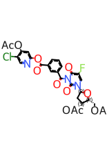 CC(=O)OC[C@H]1O[C@@H](n2cc(F)c(=O)n(C(=O)c3cccc(C(=O)Oc4cc(OC(C)=O)c(Cl)cn4)c3)c2=O)C[C@@H]1OC(C)=O